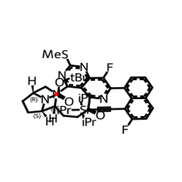 CSc1nc2c3c(nc(-c4cccc5ccc(F)c(C#C[Si](C(C)C)(C(C)C)C(C)C)c45)c(F)c3n1)C(=O)CC[C@@H]1[C@@H]3CC[C@H](CN21)N3C(=O)OC(C)(C)C